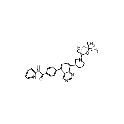 CC(C)(C)OC(=O)N1CCCC(c2ccc(-c3ccc(C(=O)Nc4ccccn4)cc3)c3cncnc23)C1